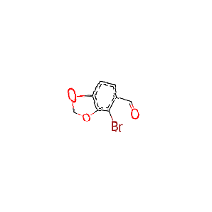 O=Cc1ccc2c(c1Br)OCO2